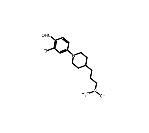 CN(C)CCCC1CCN(c2ccc(C=O)c(Cl)c2)CC1